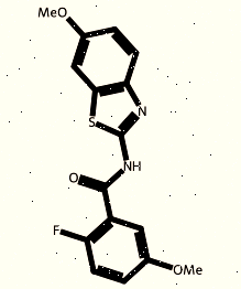 COc1ccc(F)c(C(=O)Nc2nc3ccc(OC)cc3s2)c1